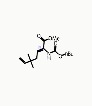 C=CC(C)(C)C/C=C(\NC(=O)OCCCC)C(=O)OC